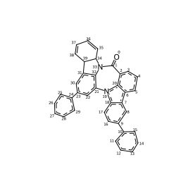 O=C1c2cccc3c4cc(-c5ccccc5)ccc4n(c23)-c2cc(-c3ccccc3)cc3c2N1C1C=CC=CC31